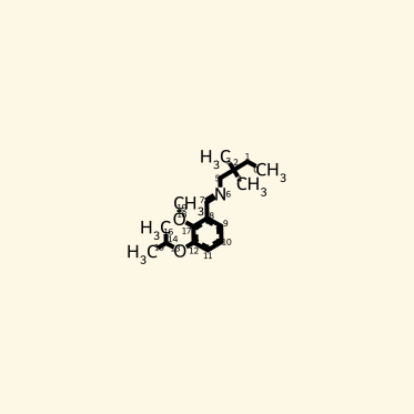 CCC(C)(C)C/N=C/c1cccc(OC(C)C)c1OC